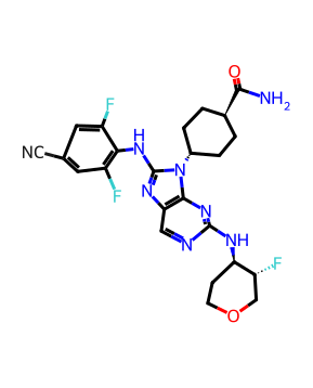 N#Cc1cc(F)c(Nc2nc3cnc(N[C@@H]4CCOC[C@H]4F)nc3n2[C@H]2CC[C@H](C(N)=O)CC2)c(F)c1